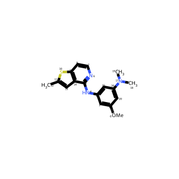 COc1cc(Nc2nccc3sc(C)cc23)cc(N(C)C)c1